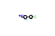 CNCc1ccc(-c2ccc(Cl)cc2)c(F)c1